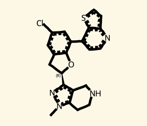 Cn1nc([C@H]2Cc3cc(Cl)cc(-c4ccnc5ccsc45)c3O2)c2c1CCNC2